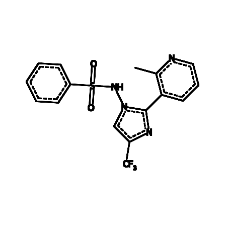 Cc1ncccc1-c1nc(C(F)(F)F)cn1NS(=O)(=O)c1ccccc1